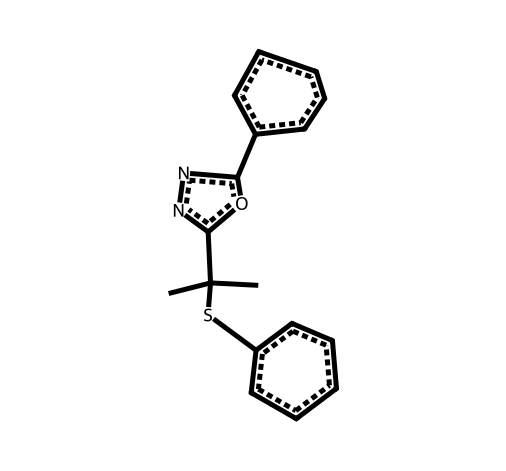 CC(C)(Sc1ccccc1)c1nnc(-c2ccccc2)o1